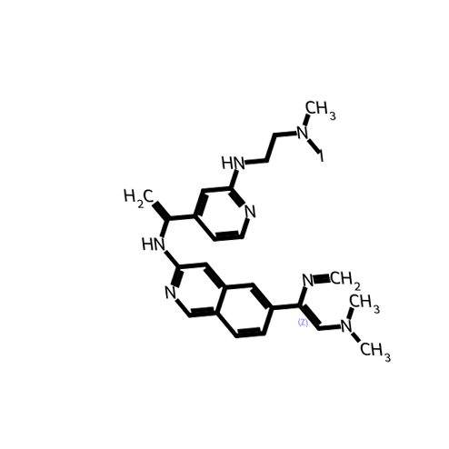 C=N/C(=C\N(C)C)c1ccc2cnc(NC(=C)c3ccnc(NCCN(C)I)c3)cc2c1